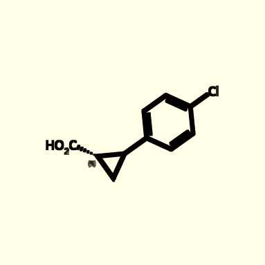 O=C(O)[C@H]1CC1c1ccc(Cl)cc1